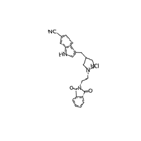 Cl.N#Cc1ccc2c(CC3CCN(CCN4C(=O)c5ccccc5C4=O)C3)c[nH]c2c1